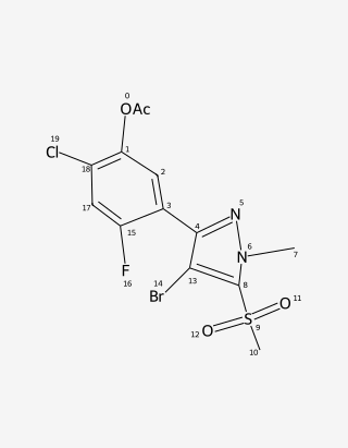 CC(=O)Oc1cc(-c2nn(C)c(S(C)(=O)=O)c2Br)c(F)cc1Cl